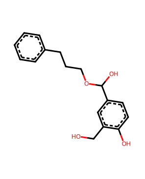 OCc1cc(C(O)OCCCc2ccccc2)ccc1O